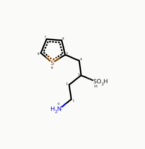 NCCC(Cc1cccs1)S(=O)(=O)O